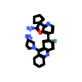 Cl.NC(=O)C1(c2cc(-c3ccc4nc5c(c(N6CC[C@H](N)C6)c4c3)CCCC5)ccn2)CCCC1